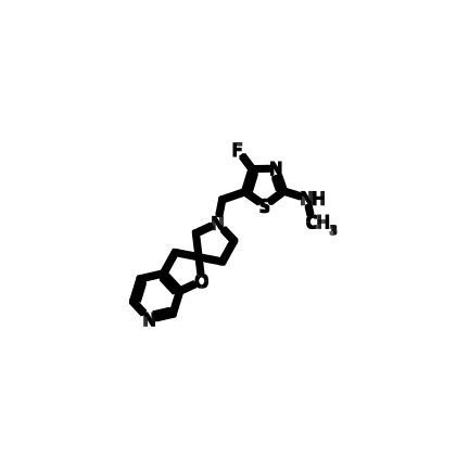 CNc1nc(F)c(CN2CCC3(Cc4ccncc4O3)C2)s1